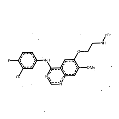 CCCNCCOc1cc2c(Nc3ccc(F)c(Cl)c3)ncnc2cc1OC